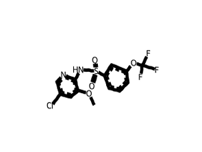 COc1cc(Cl)cnc1NS(=O)(=O)c1cccc(OC(F)(F)F)c1